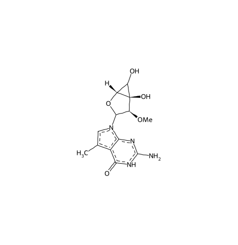 CO[C@H]1C(n2cc(C)c3c(=O)[nH]c(N)nc32)O[C@@H]2C(O)[C@@]21O